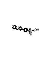 O=S(=O)(NCCO)c1ccc(-c2cn(Cc3ccncc3)nn2)cc1